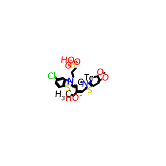 CCC(=Cc1sc2c([n+]1C)[Te]C1OCOC1=C2)C=C1Sc2ccc(Cl)cc2N1CCCS(=O)(=O)O.[OH-]